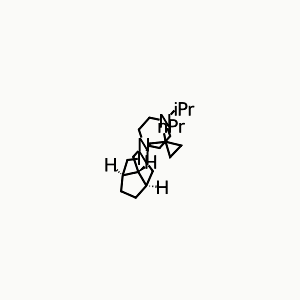 CCCC1(CN2C[C@H]3CC[C@@H](C2)[C@@H]3CN2CCN(C(C)C)CC2)CC1